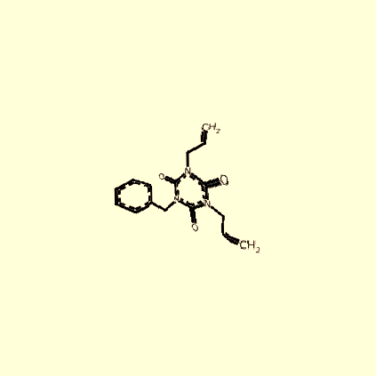 C=CCn1c(=O)n(CC=C)c(=O)n(Cc2ccccc2)c1=O